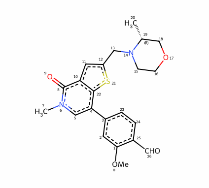 COc1cc(-c2cn(C)c(=O)c3cc(CN4CCOC[C@H]4C)sc23)ccc1C=O